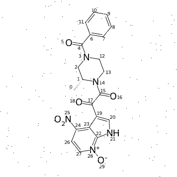 C[C@@H]1CN(C(=O)c2ccccc2)CCN1C(=O)C(=O)c1c[nH]c2c1c([N+](=O)[O-])cc[n+]2[O-]